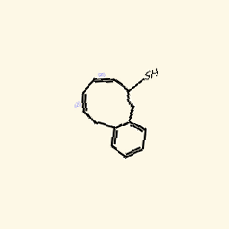 SC1/C=C\C=C/Cc2ccccc2C1